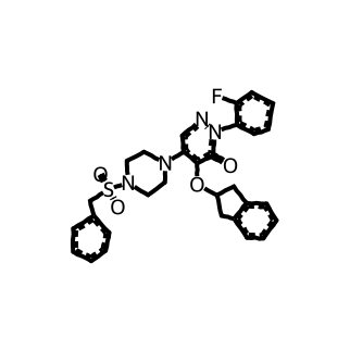 O=c1c(OC2Cc3ccccc3C2)c(N2CCN(S(=O)(=O)Cc3ccccc3)CC2)cnn1-c1ccccc1F